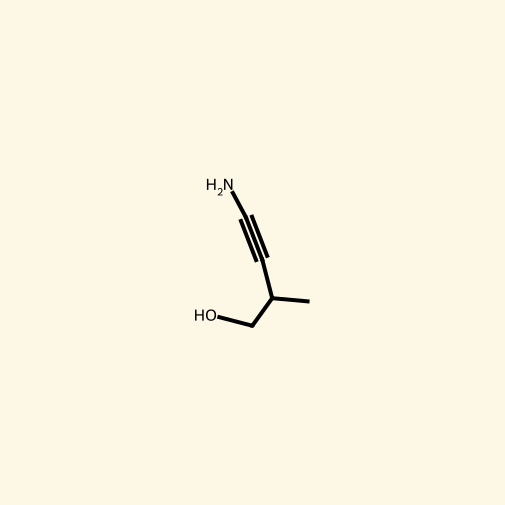 CC(C#CN)CO